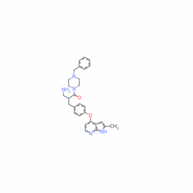 Cc1cc2c(Oc3ccc(CC(CN)C(=O)N4CCN(Cc5ccccc5)CC4)cc3)ccnc2[nH]1